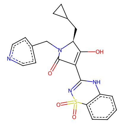 O=C1C(C2=NS(=O)(=O)c3ccccc3N2)=C(O)[C@H](CC2CC2)N1Cc1ccncc1